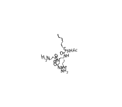 C=C/C=C\C=C/C[C@H](NC(C)=O)C(=O)N[C@@H](CCCCN)CN(CC(=O)NC)S(=O)(=O)CCN